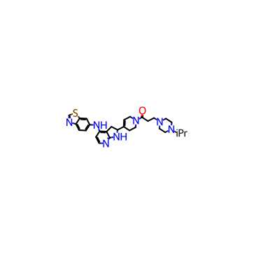 CC(C)N1CCN(CCC(=O)N2CC=C(C3Cc4c(Nc5ccc6ncsc6c5)ccnc4N3)CC2)CC1